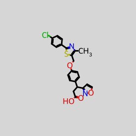 Cc1nc(-c2ccc(Cl)cc2)sc1COc1ccc(C(CC(=O)O)c2ccon2)cc1